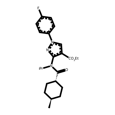 CCOC(=O)c1cn(-c2ccc(F)cc2)nc1N(C(=O)[C@H]1CC[C@H](C)CC1)C(C)C